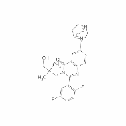 CC(C)(CO)Cn1c(-c2cc(F)ccc2F)nc2ccc(N3CCN4CCC3CC4)cc2c1=O